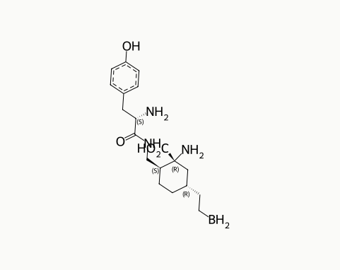 BCC[C@@H]1CC[C@@H](CNC(=O)[C@@H](N)Cc2ccc(O)cc2)[C@@](N)(C(=O)O)C1